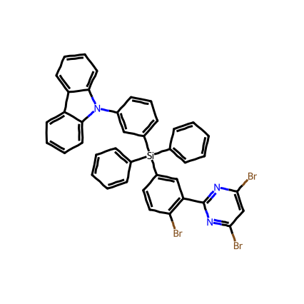 Brc1cc(Br)nc(-c2cc([Si](c3ccccc3)(c3ccccc3)c3cccc(-n4c5ccccc5c5ccccc54)c3)ccc2Br)n1